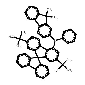 CC(C)(C)c1ccc2c(c1)C1(c3ccccc3-c3ccccc31)c1cc(C(C)(C)C)cc(N(c3ccccc3)c3ccc4c(c3)C(C)(C)c3ccccc3-4)c1-2